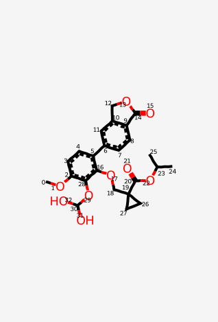 COc1ccc(-c2ccc3c(c2)COC3=O)c(OCC2(C(=O)OC(C)C)CC2)c1OC(O)O